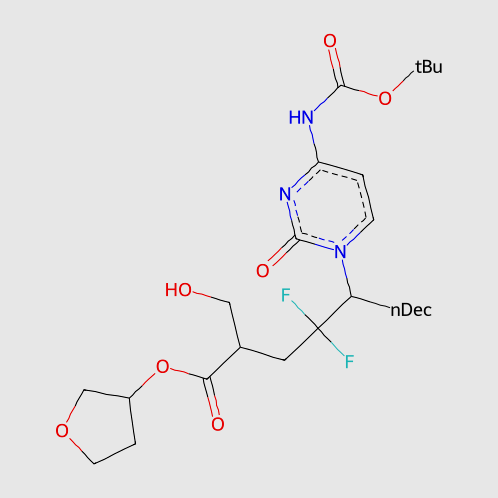 CCCCCCCCCCC(n1ccc(NC(=O)OC(C)(C)C)nc1=O)C(F)(F)CC(CO)C(=O)OC1CCOC1